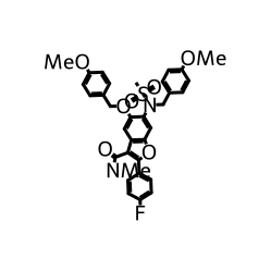 CNC(=O)c1c(-c2ccc(F)cc2)oc2cc(N(Cc3ccc(OC)cc3)S(C)(=O)=O)c(OCc3ccc(OC)cc3)cc12